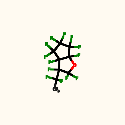 FC(F)(F)C(F)(F)C1(F)C(F)(F)OC2(F)C(F)(F)C(F)(F)C(F)(F)C21F